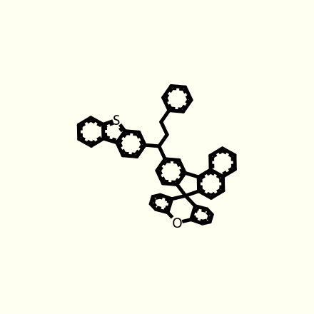 c1ccc(CCC(c2ccc3c(c2)-c2c(ccc4ccccc24)C32c3ccccc3Oc3ccccc32)c2ccc3c(c2)sc2ccccc23)cc1